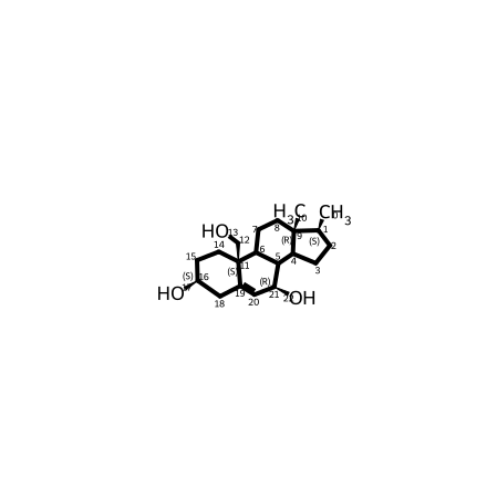 C[C@H]1CCC2C3C(CC[C@@]21C)[C@@]1(CO)CC[C@H](O)CC1=C[C@@H]3O